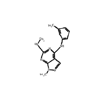 CNc1nc(Nc2cccc(C)c2)c2cnn(C)c2n1